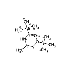 CC(COC(C)(C)C)NC(=O)C(C)(C)C